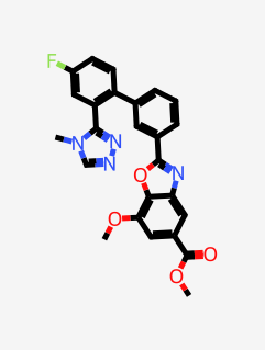 COC(=O)c1cc(OC)c2oc(-c3cccc(-c4ccc(F)cc4-c4nncn4C)c3)nc2c1